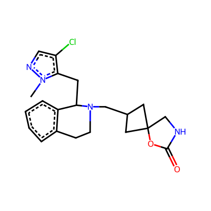 Cn1ncc(Cl)c1CC1c2ccccc2CCN1CC1CC2(CNC(=O)O2)C1